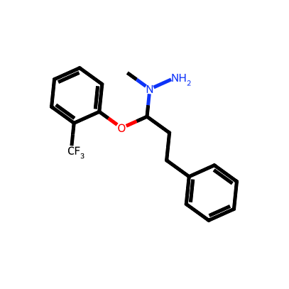 CN(N)C(CCc1ccccc1)Oc1ccccc1C(F)(F)F